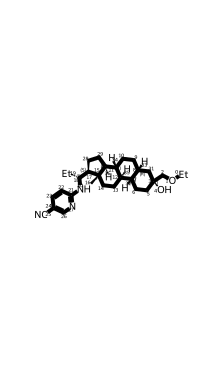 CCOC[C@@]1(O)CC[C@H]2[C@H](CC[C@@H]3[C@@H]2CC[C@]2(C)[C@@H]([C@@H](CC)Nc4ccc(C#N)cn4)CC[C@@H]32)C1